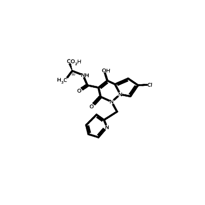 C[C@H](NC(=O)c1c(O)c2cc(Cl)cn2n(Cc2ccccn2)c1=O)C(=O)O